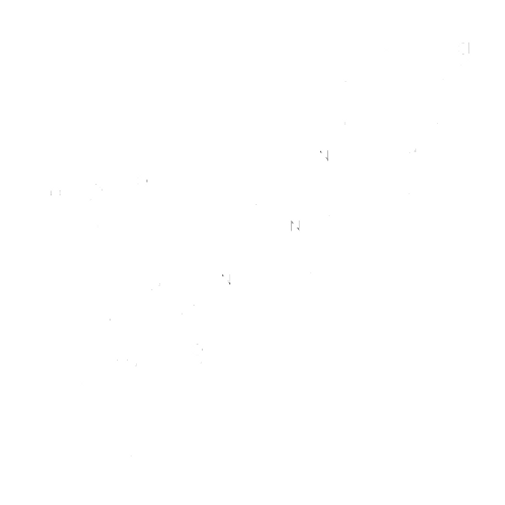 CC(C)COc1ccc(S(C)(=O)=O)cc1C(=O)N1CCN(c2ccc3cc(Cl)ccc3n2)CC1